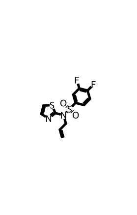 C=CCN(c1nccs1)S(=O)(=O)c1ccc(F)c(F)c1